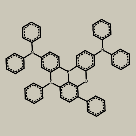 c1ccc(-c2ccc3c4c2Oc2cc(N(c5ccccc5)c5ccccc5)ccc2B4c2ccc(N(c4ccccc4)c4ccccc4)cc2N3c2ccccc2)cc1